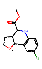 COC(=O)C1Nc2ccc(Cl)cc2C2OCCC12